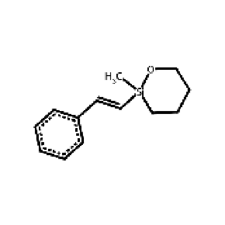 C[Si]1(C=Cc2ccccc2)CCCCO1